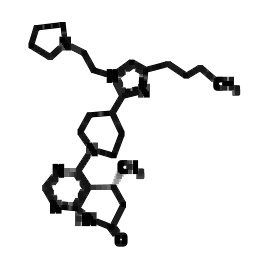 CCCCc1cn(CCN2CCCC2)c(C2CCN(c3ncnc4c3[C@H](C)CC(=O)N4)CC2)n1